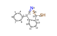 N#CC(c1ccccc1)c1ccccc1C(=S)S